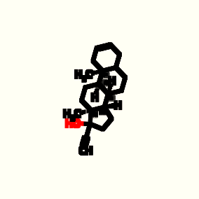 C#CC1(O)CC[C@H]2[C@@H]3CCC4CC=CC[C@]4(C)[C@@H]3CC[C@@]21C